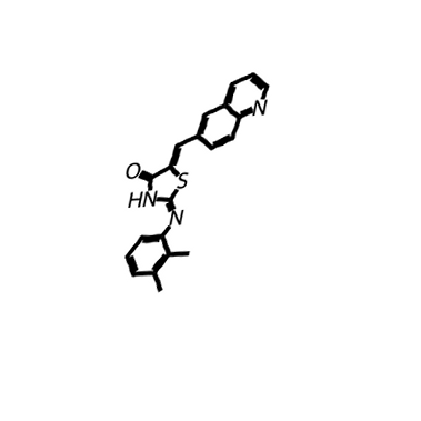 Cc1cccc(/N=C2\NC(=O)/C(=C/c3ccc4ncccc4c3)S2)c1C